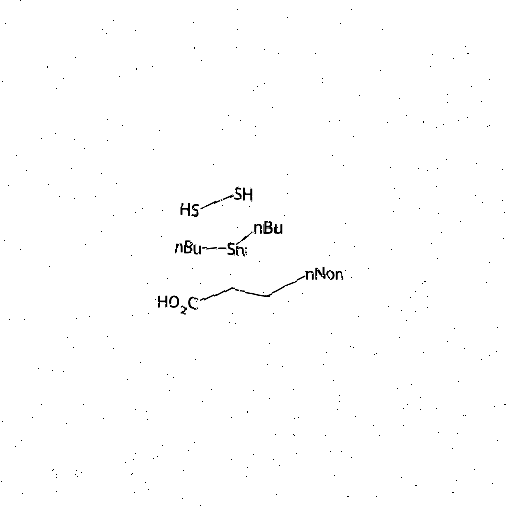 CCCCCCCCCCCC(=O)O.CCC[CH2][Sn][CH2]CCC.SS